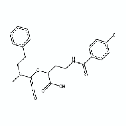 CN(CCc1ccccc1)C(=C=O)OC(CCNC(=O)c1ccc(Cl)cc1)C(=O)O